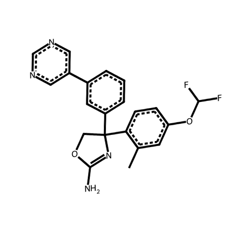 Cc1cc(OC(F)F)ccc1C1(c2cccc(-c3cncnc3)c2)COC(N)=N1